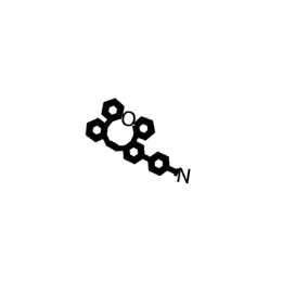 N#Cc1ccc(-c2ccc3c(c2)-c2ccccc2Oc2ccccc2-c2ccccc2/C=C\3)cc1